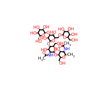 CC(=O)N[C@H]1C(O)[C@H](O[C@@H]2OC(CO[C@H]3OC(CO)[C@@H](O)C(O)[C@H]3O)[C@@H](O)C(O[C@H]3O[C@H](CO)[C@@H](O)C(O)C3O)[C@H]2O)C(CO)O[C@H]1O[C@@H]1C(CO)O[C@@H](C)[C@@H](NC(C)=O)C1O